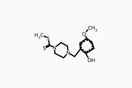 COc1ccc(O)c(CN2CCN(C(=S)SC)CC2)c1